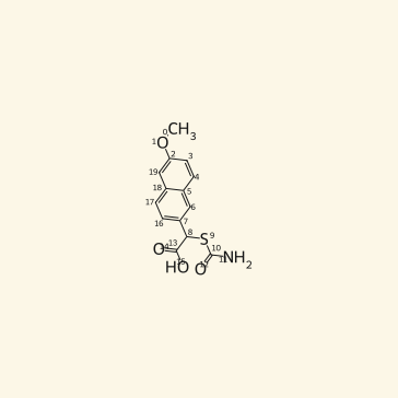 COc1ccc2cc(C(SC(N)=O)C(=O)O)ccc2c1